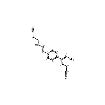 N#CCCNN=Cc1ccc(C(CCC#N)=NN)cc1